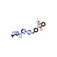 O=C(Nc1ccc(CN2CCN(c3nccc(Nc4cc(C5CC5)[nH]n4)n3)CC2)cc1)c1ccccc1OC(F)(F)F